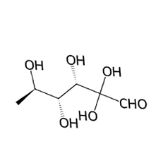 C[C@@H](O)[C@@H](O)[C@H](O)C(O)(O)C=O